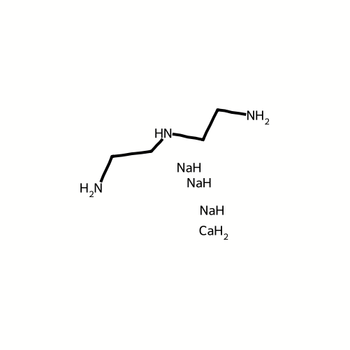 NCCNCCN.[CaH2].[NaH].[NaH].[NaH]